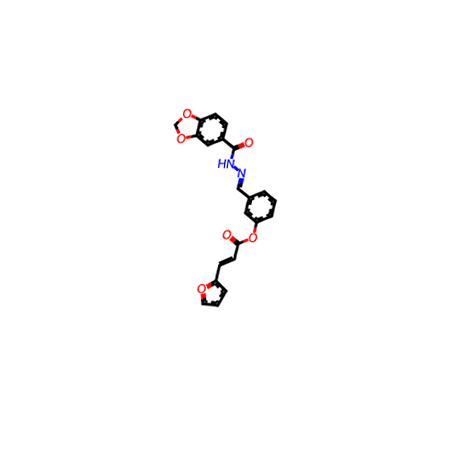 O=C(/C=C/c1ccco1)Oc1cccc(/C=N/NC(=O)c2ccc3c(c2)OCO3)c1